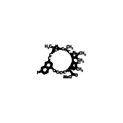 COC(=O)c1c(C)c2c3c(Cl)ccc2n1CCCOc1cc(cc2cc(F)ccc12)CCc1cc(nn1C)CN(C)Cc1nn(C)c(C)c1-3